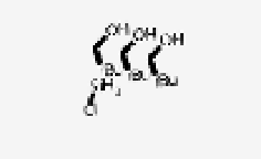 CCC(C)CO.CCC(C)CO.CCC(C)CO.[SiH3]Cl